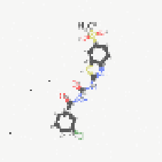 CS(=O)(=O)c1ccc2nc(NC(=O)NC(=O)c3cccc(Cl)c3)sc2c1